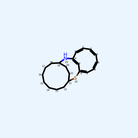 c1cccc2cc(ccc1)SC1CCCCCCCC(CC1)N2